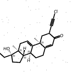 CC[C@]1(O)CC[C@H]2[C@@H]3CCC4=CC(=O)C(C#CCl)C[C@]4(C)C3=CC[C@@]21C